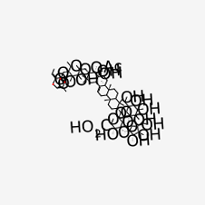 C/C=C(/C)C(=O)O[C@@H]1C(O)[C@H](O[C@H]2[C@H](OC(C)=O)[C@@]3(CO)C(CC2(C)C)C2=CCC4[C@@]5(C)CC[C@H](O[C@@H]6OC(C(=O)O)[C@@H](O)[C@@H](O[C@@H]7O[C@@H](CO)C(O)[C@@H]7O)C6O[C@@H]6OC(CO)[C@H](O)[C@@H](O)C6O)C(C)(C)C5CC[C@@]4(C)[C@]2(C)C[C@H]3O)OC(C)[C@@H]1OC(=O)/C(C)=C\C